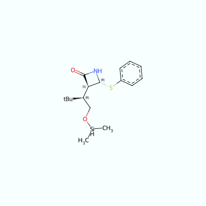 C[SiH](C)OC[C@H]([C@H]1C(=O)N[C@@H]1Sc1ccccc1)C(C)(C)C